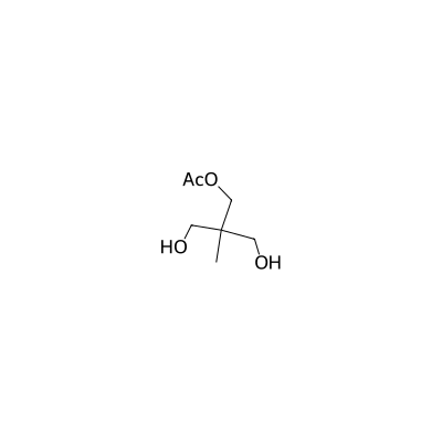 CC(=O)OCC(C)(CO)CO